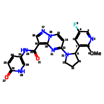 COc1ncc(F)cc1C1CCCN1c1ccn2ncc(C(=O)Nc3ccc(=O)[nH]c3)c2n1